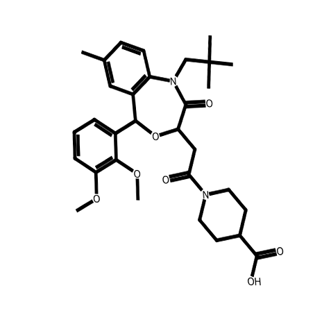 COc1cccc(C2OC(CC(=O)N3CCC(C(=O)O)CC3)C(=O)N(CC(C)(C)C)c3ccc(C)cc32)c1OC